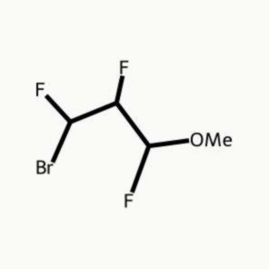 COC(F)C(F)C(F)Br